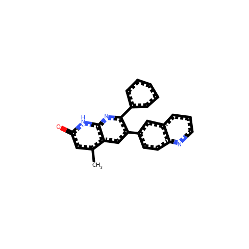 Cc1cc(=O)[nH]c2nc(-c3ccccc3)c(-c3ccc4ncccc4c3)cc12